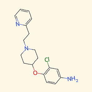 Nc1ccc(OC2CCN(CCc3ccccn3)CC2)c(Cl)c1